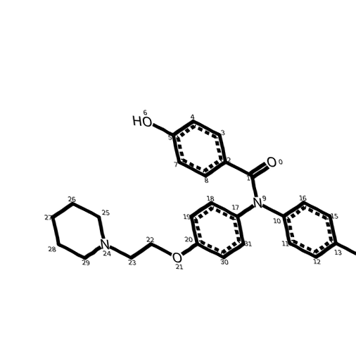 O=C(c1ccc(O)cc1)N(c1ccc(O)cc1)c1ccc(OCCN2CCCCC2)cc1